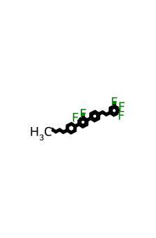 CCCCCC1CCC(c2ccc(-c3ccc(CCc4cc(F)c(F)c(F)c4)cc3)c(F)c2F)CC1